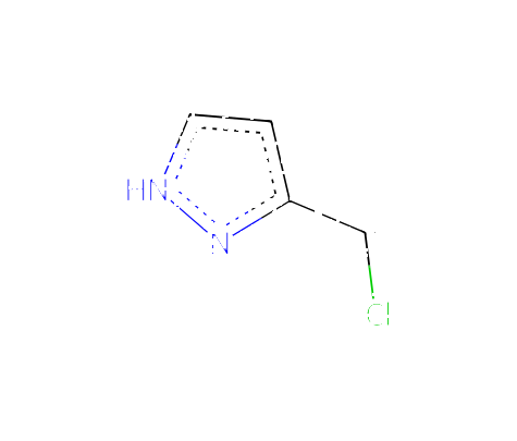 Cl[CH]c1cc[nH]n1